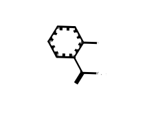 O=[C]([Na])c1ccccc1O